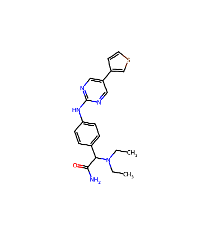 CCN(CC)C(C(N)=O)c1ccc(Nc2ncc(-c3ccsc3)cn2)cc1